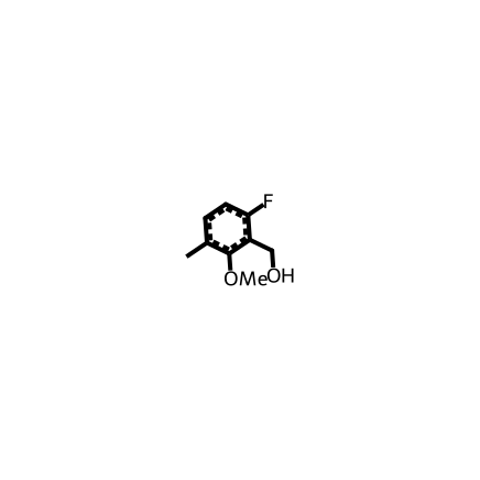 COc1c(C)ccc(F)c1CO